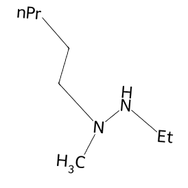 CCCCCN(C)NCC